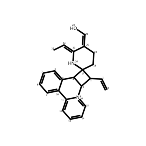 C=CC1C2C(c3ccccc3-c3cccc[n+]32)C12CCC(=C/O)/C(=C/C)N2